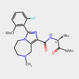 CNC(=O)[C@@H](NC(=O)c1nc(-c2c(F)cccc2OC)n2c1CN(C)CCC2)C(C)(C)C